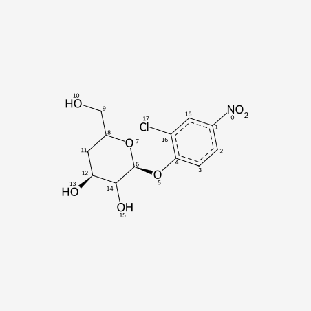 O=[N+]([O-])c1ccc(O[C@@H]2OC(CO)C[C@H](O)C2O)c(Cl)c1